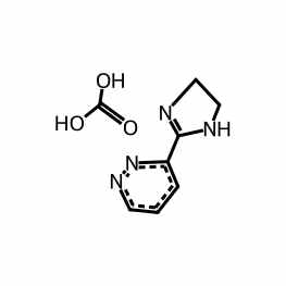 O=C(O)O.c1cnnc(C2=NCCN2)c1